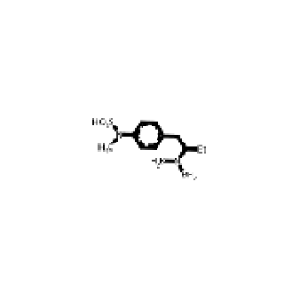 BN(B)C(CC)Cc1ccc(N(C)S(=O)(=O)O)cc1